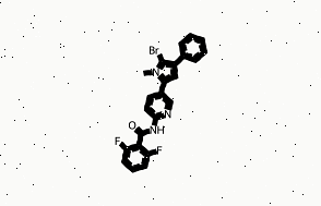 Cn1c(-c2ccc(NC(=O)c3c(F)cccc3F)nc2)cc(-c2ccccc2)c1Br